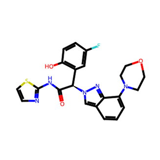 O=C(Nc1nccs1)[C@@H](c1cc(F)ccc1O)n1cc2cccc(N3CCOCC3)c2n1